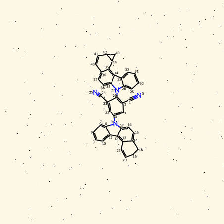 N#Cc1cc(-n2c3ccccc3c3c4c(ccc32)CCC=C4)cc(C#N)c1-n1c2ccccc2c2c3c(ccc21)C=CC1CC31